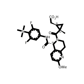 COc1ccc2c(n1)CCN(C(=O)[C@@]1(C)C[C@@H]1CC(=O)O)[C@H]2C(=O)Nc1cc(F)c([Si](C)(C)C)c(F)c1